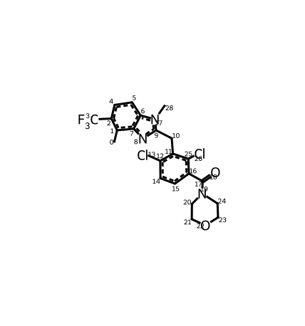 Cc1c(C(F)(F)F)ccc2c1nc(Cc1c(Cl)ccc(C(=O)N3CCOCC3)c1Cl)n2C